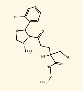 O=C(O)CNC(=O)C(S)(CS)CCC(=O)N1C(c2ccccc2O)SC[C@H]1C(=O)O